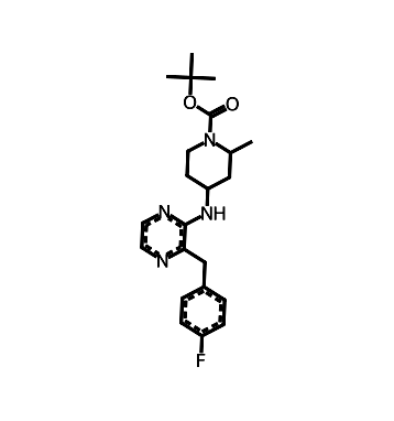 CC1CC(Nc2nccnc2Cc2ccc(F)cc2)CCN1C(=O)OC(C)(C)C